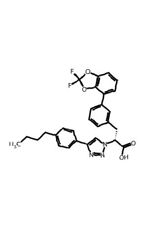 CCCCc1ccc(-c2cn([C@H](Cc3cccc(-c4cccc5c4OC(F)(F)O5)c3)C(=O)O)nn2)cc1